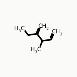 C=CC(C)C(=C)[CH]C